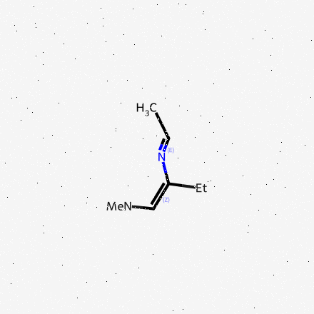 C/C=N/C(=C\NC)CC